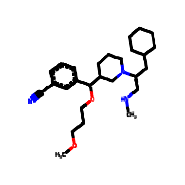 CNCC(CC1CCCCC1)N1CCCC(C(OCCCOC)c2cccc(C#N)c2)C1